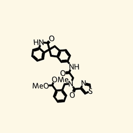 COC(OC)c1ccccc1CN(CC(=O)Nc1ccc2c(c1)CC1(C2)C(=O)Nc2ccccc21)C(=O)c1cscn1